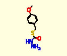 COc1ccc(CSC(=O)NN)cc1